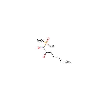 CCCCCCCCCCCCC(=O)C(=O)P(=O)(OC)OC